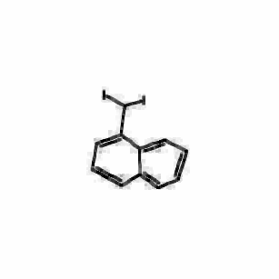 IC(I)c1cccc2ccccc12